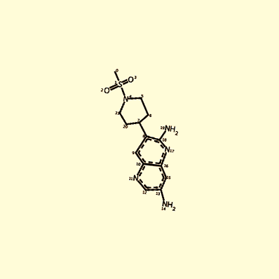 CS(=O)(=O)N1CCC(c2cc3ncc(N)cc3nc2N)CC1